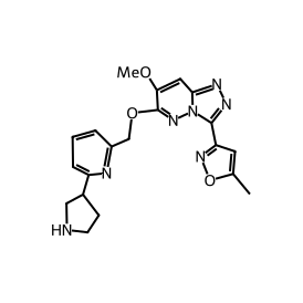 COc1cc2nnc(-c3cc(C)on3)n2nc1OCc1cccc(C2CCNC2)n1